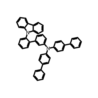 c1ccc(-c2ccc(N(c3ccc(-c4ccccc4)cc3)c3cccc(-c4ccccc4-n4c5ccccc5c5ccccc54)c3)cc2)cc1